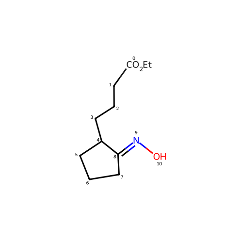 CCOC(=O)CCCC1CCCC1=NO